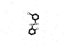 Clc1cccc(NNc2ccccc2Cl)c1